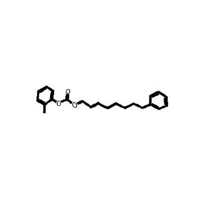 Cc1ccccc1OC(=O)OCCCCCCCCc1ccccc1